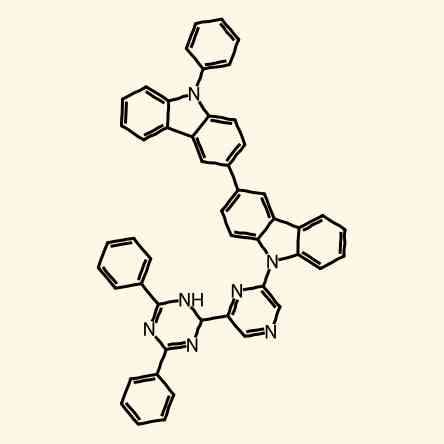 c1ccc(C2=NC(c3cncc(-n4c5ccccc5c5cc(-c6ccc7c(c6)c6ccccc6n7-c6ccccc6)ccc54)n3)NC(c3ccccc3)=N2)cc1